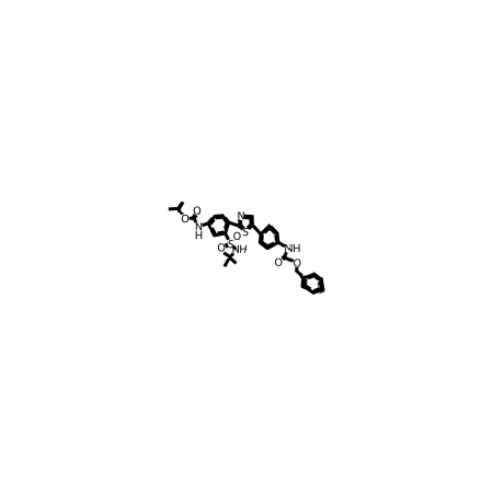 CC(C)OC(=O)Nc1ccc(-c2ncc(-c3ccc(NC(=O)OCc4ccccc4)cc3)s2)c(S(=O)(=O)NC(C)(C)C)c1